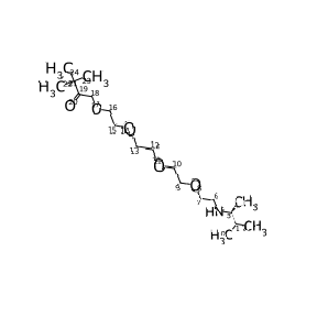 CC(C)[C@H](C)NCCOCCOCCOCCOCC(=O)C(C)(C)C